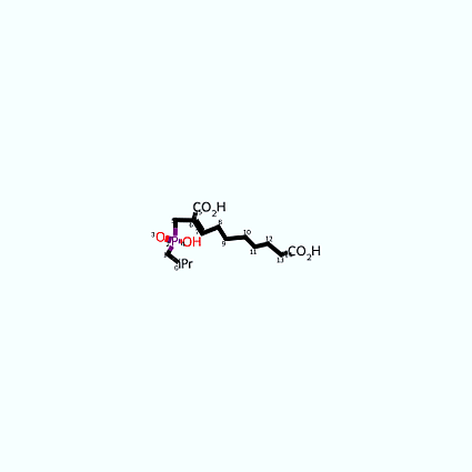 CC(C)CP(=O)(O)CC(=CCCCCCCC(=O)O)C(=O)O